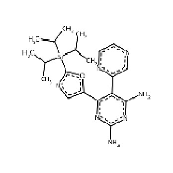 CC(C)[Si](c1ncc(-c2nc(N)nc(N)c2-c2cnccn2)o1)(C(C)C)C(C)C